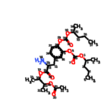 CCCC(C)OC(=O)Oc1cc(C[C@H](N)C(=O)OC(C)C(C)OC(C)=O)ccc1OC(=O)O[C@@H](C)CCC